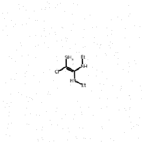 CCNC(NCC)=C([SiH3])Cl